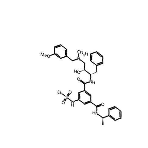 CCS(=O)(=O)Nc1cc(C(=O)N[C@@H](Cc2ccccc2)[C@H](O)CN(Cc2cccc(OC)c2)C(=O)O)cc(C(=O)N[C@H](C)c2ccccc2)c1